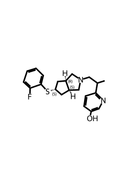 CC(CN1C[C@H]2C[C@H](Sc3ccccc3F)C[C@H]2C1)c1ccc(O)cn1